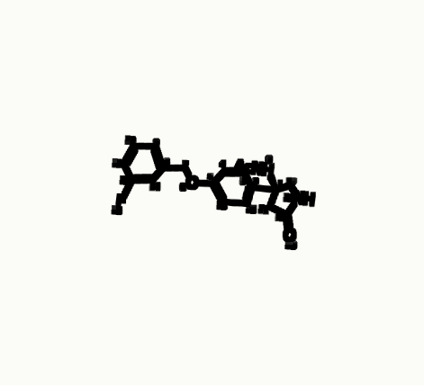 CC(=O)N[C@@]1(c2ccc(OCc3cccc(F)c3)cc2)CNC(=O)C1